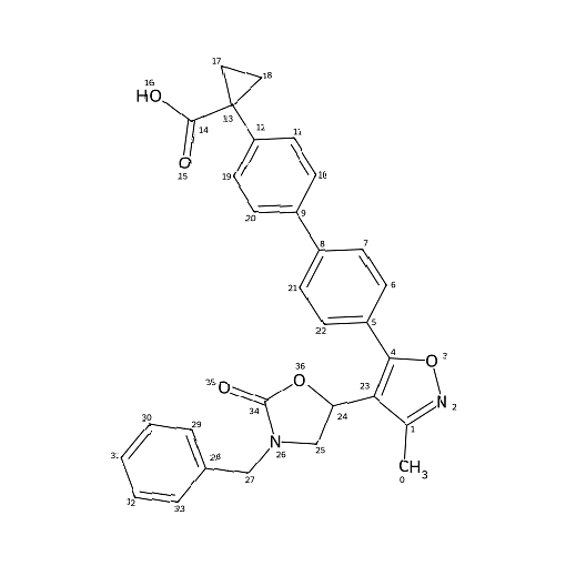 Cc1noc(-c2ccc(-c3ccc(C4(C(=O)O)CC4)cc3)cc2)c1C1CN(Cc2ccccc2)C(=O)O1